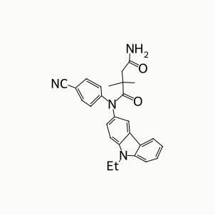 CCn1c2ccccc2c2cc(N(C(=O)C(C)(C)CC(N)=O)c3ccc(C#N)cc3)ccc21